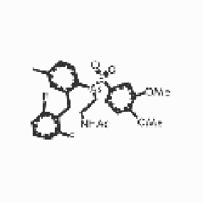 COc1ccc(S(=O)(=O)[As](CCNC(C)=O)c2ccc(C)cc2Cc2c(F)cccc2F)cc1OC